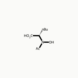 CCCC[C@@H](C(=O)O)N(O)C(C)=O